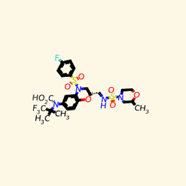 CC1CN(S(=O)(=O)NC[C@H]2CN(S(=O)(=O)c3ccc(F)cc3)c3cc(N(C(=O)O)C(C)(C)C(F)(F)F)ccc3O2)CCO1